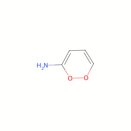 NC1=CC=COO1